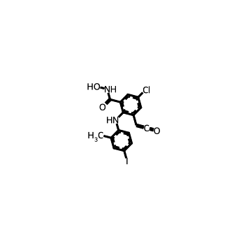 Cc1cc(I)ccc1Nc1c(C=C=O)cc(Cl)cc1C(=O)NO